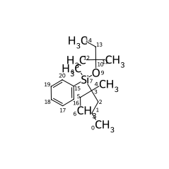 CCCC(C)(CC)[Si](C)(OC(C)(C)CC)c1ccccc1